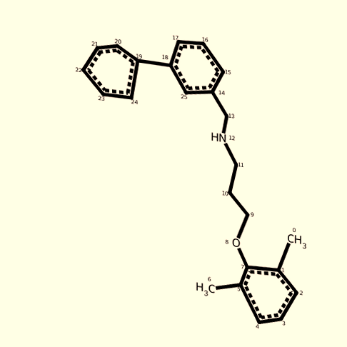 Cc1cccc(C)c1OCCCNCc1cccc(-c2ccccc2)c1